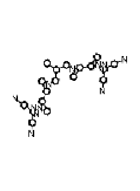 N#Cc1ccc(-c2cc(-c3ccc(C#N)cc3)nc(-n3c4ccccc4c4cc(-c5ccc6c(c5)c5ccccc5n6-c5cccc(-c6cc(-c7ccccc7)cc(-c7cccc(-n8c9ccccc9c9cc(-c%10ccc%11c(c%10)c%10ccccc%10n%11-c%10nc(-c%11ccc(C#N)cc%11)cc(-c%11ccc(C#N)cc%11)n%10)ccc98)c7)c6)c5)ccc43)n2)cc1